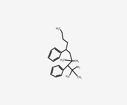 BC(C)(C)C(c1ccccc1)C(C)(C)CC(CCCC)c1ccccc1